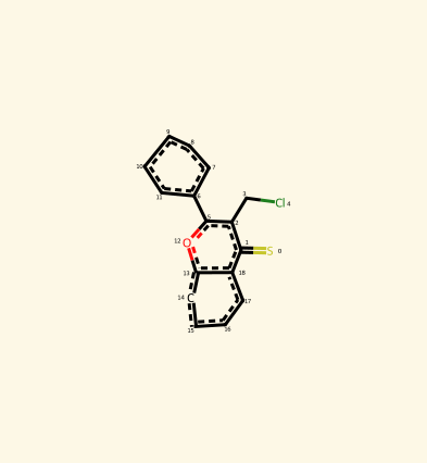 S=c1c(CCl)c(-c2ccccc2)oc2ccccc12